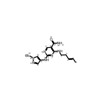 C/C=C/CCNc1nc(Nc2cnn(C(C)(C)C)c2)ncc1C(N)=O